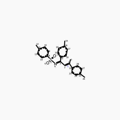 C/C(=C\C(=NS(=O)(=O)c1ccc(C)cc1)c1ccc(C)cc1)c1ccc(C)cc1